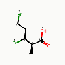 C=C(C(=O)O)C(Br)CCBr